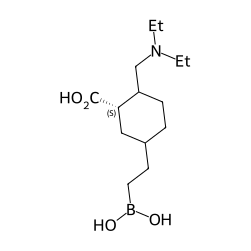 CCN(CC)CC1CCC(CCB(O)O)C[C@@H]1C(=O)O